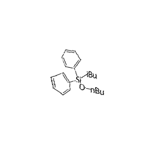 CCCCO[Si](c1ccccc1)(c1ccccc1)C(C)CC